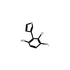 Nc1ccc(O)c(-c2ccsc2)c1Cl